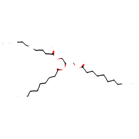 CCCCCCCCCCCCCCCCCC(=O)OC[C@@H](COC(=O)CCCCCCCCCCCCCCCC)OC(=O)CCCCCCCCCCCCCCCCC